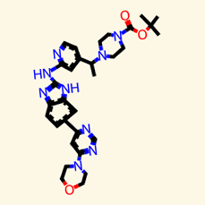 CC(c1ccnc(Nc2nc3ccc(-c4cc(N5CCOCC5)ncn4)cc3[nH]2)c1)N1CCN(C(=O)OC(C)(C)C)CC1